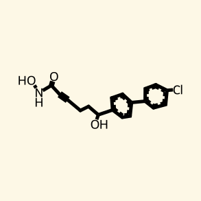 O=C(C#CCCC(O)c1ccc(-c2ccc(Cl)cc2)cc1)NO